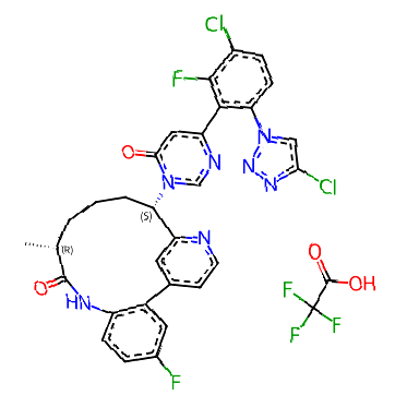 C[C@@H]1CCC[C@H](n2cnc(-c3c(-n4cc(Cl)nn4)ccc(Cl)c3F)cc2=O)c2cc(ccn2)-c2cc(F)ccc2NC1=O.O=C(O)C(F)(F)F